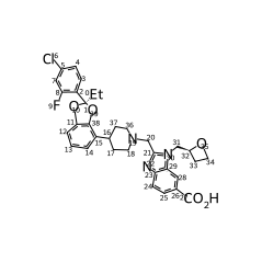 CC[C@@]1(c2ccc(Cl)cc2F)Oc2cccc(C3CCN(Cc4nc5ccc(C(=O)O)cc5n4C[C@@H]4CCO4)CC3)c2O1